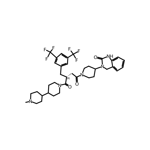 CN1CCC(C2CCN(C(=O)[C@@H](CC(=O)N3CCC(N4Cc5ccccc5NC4=O)CC3)Cc3cc(C(F)(F)F)cc(C(F)(F)F)c3)CC2)CC1